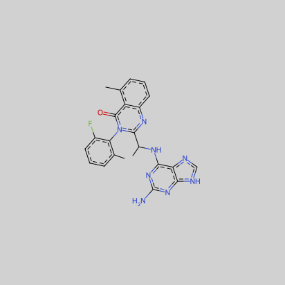 Cc1cccc(F)c1-n1c(C(C)Nc2nc(N)nc3[nH]cnc23)nc2cccc(C)c2c1=O